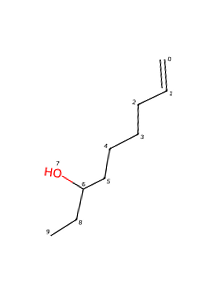 C=CCCCCC(O)CC